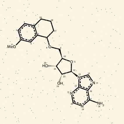 COc1ccc2c(c1)C(OC[C@H]1O[C@@H](n3cnc4c(N)ncnc43)[C@H](O)[C@@H]1O)CCC2